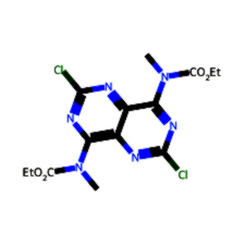 CCOC(=O)N(C)c1nc(Cl)nc2c(N(C)C(=O)OCC)nc(Cl)nc12